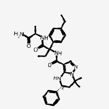 CCc1ccc(C(CC)(NC(=O)c2cnn3c2N[C@@H](c2ccccc2)CC3(C)C)C(=O)NC(C)C(N)=O)cc1